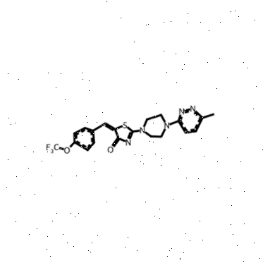 Cc1ccc(N2CCN(C3=NC(=O)/C(=C\c4ccc(OC(F)(F)F)cc4)S3)CC2)nn1